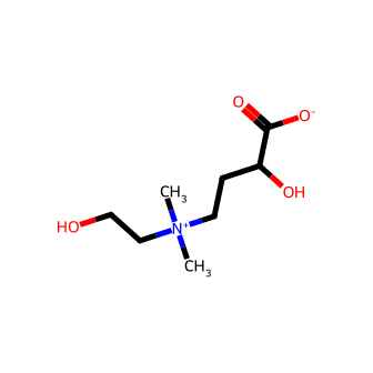 C[N+](C)(CCO)CCC(O)C(=O)[O-]